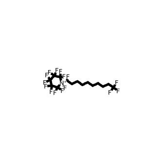 FC(CCCCCCCCC(F)(F)F)[N+]1(F)C(F)(F)C(F)(F)C(F)(F)C(F)(F)C1(F)F